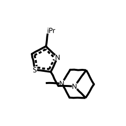 CC(C)c1csc(CN2C3CC2CN(C)C3)n1